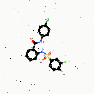 O=C(Nc1ccc(Cl)cc1)c1ccccc1NS(=O)(=O)c1ccc(F)c(F)c1